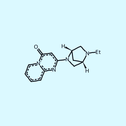 CCN1C[C@@H]2C[C@H]1CN2c1cc(=O)n2ccccc2n1